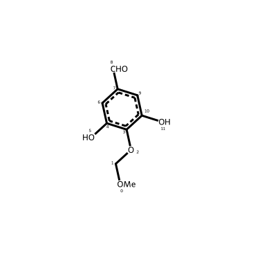 COCOc1c(O)cc(C=O)cc1O